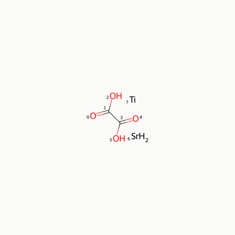 O=C(O)C(=O)O.[SrH2].[Ti]